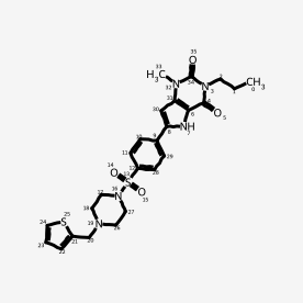 CCCn1c(=O)c2[nH]c(-c3ccc(S(=O)(=O)N4CCN(Cc5cccs5)CC4)cc3)cc2n(C)c1=O